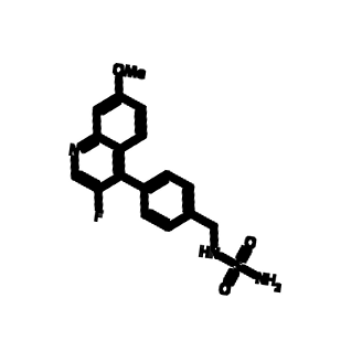 COc1ccc2c(-c3ccc(CNS(N)(=O)=O)cc3)c(F)cnc2c1